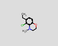 CCc1ccc2c(c1Cl)N(C)CCO2